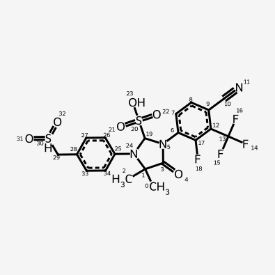 CC1(C)C(=O)N(c2ccc(C#N)c(C(F)(F)F)c2F)C(S(=O)(=O)O)N1c1ccc(C[SH](=O)=O)cc1